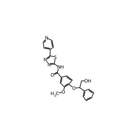 COc1cc(C(=O)Nc2nnc(-c3ccncc3)s2)ccc1OC(CO)c1ccccc1